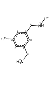 CCc1cc(F)cc(CNI)c1